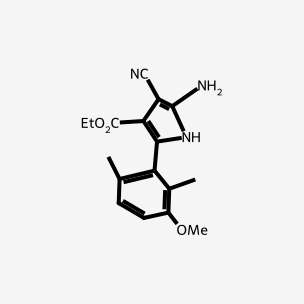 CCOC(=O)c1c(-c2c(C)ccc(OC)c2C)[nH]c(N)c1C#N